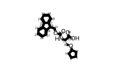 O=C(N[C@@H](COC1CCCC1)C(=O)O)OCC1c2ccccc2-c2ccccc21